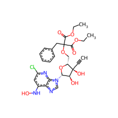 C#C[C@@]1(O)[C@@H](COC(Cc2ccccc2)(C(=O)OCC)C(=O)OCC)O[C@@H](n2cnc3c(NO)cc(Cl)nc32)[C@@H]1O